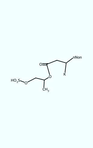 CCCCCCCCC[CH]([K])CC(=O)OC(C)COS(=O)(=O)O